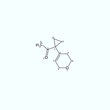 CC(=O)C1(C2=CCOCC2)CC1